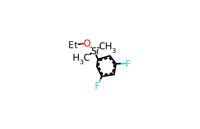 CCO[Si](C)(C)c1cc(F)cc(F)c1